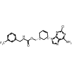 Nc1nc(Cl)nc2c1ncn2[C@H]1C=CC[C@@H](COC(=O)NCc2cccc(C(F)(F)F)c2)C1